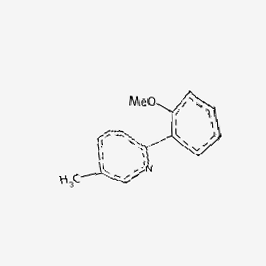 COc1ccccc1-c1ccc(C)cn1